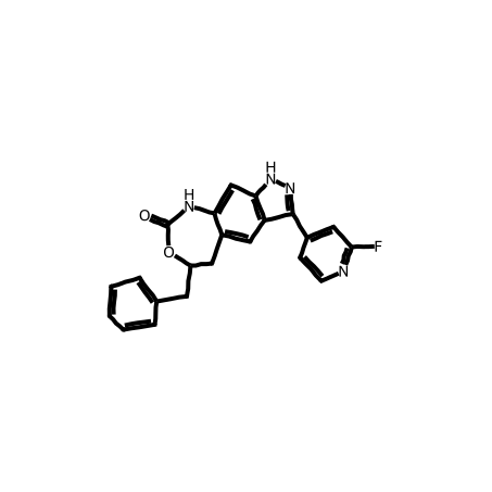 O=C1Nc2cc3[nH]nc(-c4ccnc(F)c4)c3cc2CC(Cc2ccccc2)O1